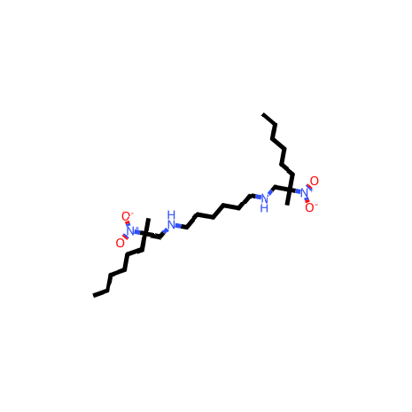 CCCCCCC(C)(CNCCCCCCNCC(C)(CCCCCC)[N+](=O)[O-])[N+](=O)[O-]